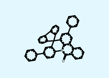 O=c1c2ccccc2c2cc(-c3ccccc3)cc3c2n1-c1ccc(-c2ccccc2)cc1C31c2ccccc2-c2ccccc21